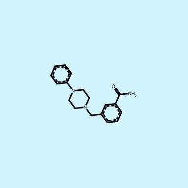 NC(=O)c1cccc(CN2CCN(c3cc[c]cc3)CC2)c1